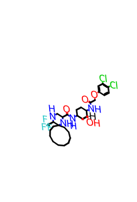 O=C(COc1ccc(Cl)c(Cl)c1)NC12CCC(NC(=O)C3CNC(C(F)(F)F)C4(CCCCCCCCCC4)N3)(CC1)C[C@@H]2O